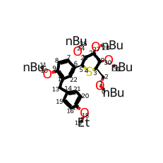 CCCCOC[C@H]1S[C@@H](c2ccc(OCCCC)c(Cc3ccc(OCC)cc3)c2)[C@H](OCCCC)[C@@H](OCCCC)[C@@H]1OCCCC